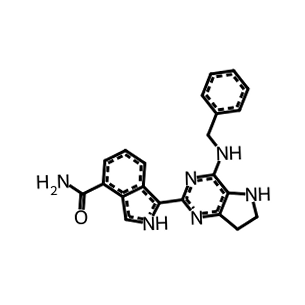 NC(=O)c1cccc2c(-c3nc4c(c(NCc5ccccc5)n3)NCC4)[nH]cc12